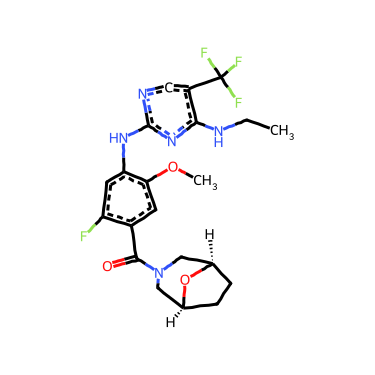 CCNc1nc(Nc2cc(F)c(C(=O)N3C[C@H]4CC[C@@H](C3)O4)cc2OC)ncc1C(F)(F)F